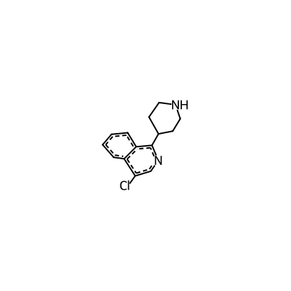 Clc1cnc(C2CCNCC2)c2ccccc12